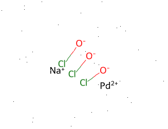 [Na+].[O-]Cl.[O-]Cl.[O-]Cl.[Pd+2]